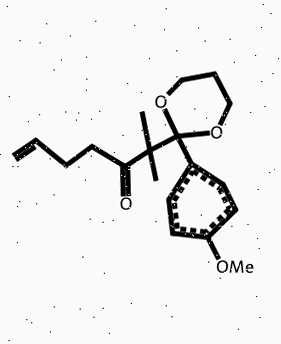 C=CCCC(=O)C(C)(C)C1(c2ccc(OC)cc2)OCCCO1